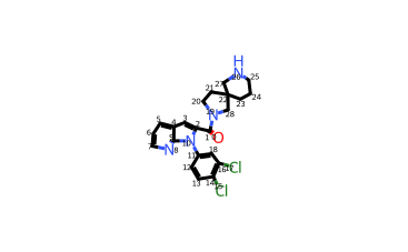 O=C(c1cc2cccnc2n1-c1ccc(Cl)c(Cl)c1)N1CCC2(CCCNC2)C1